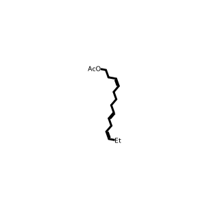 CC/C=C\C/C=C/CCC/C=C\CCOC(C)=O